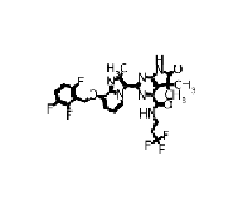 Cc1nc2c(OCc3c(F)ccc(F)c3F)cccn2c1-c1nc2c(c(C(=O)NCCC(F)(F)F)n1)C(C)(C)C(=O)N2